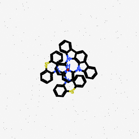 C1=CC(N2c3ccccc3Sc3ccccc32)NC(n2c3ccccc3c3ccc4c5ccccc5n(-c5cccc(N6c7ccccc7Sc7ccccc76)n5)c4c32)=C1